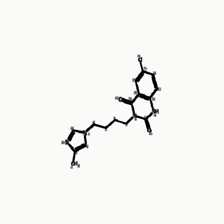 Cc1cn(CCCCn2c(=O)[nH]c3ccc(Cl)cc3c2=O)cn1